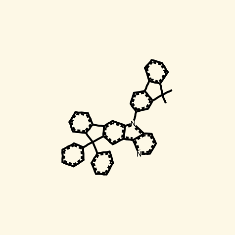 CC1(C)c2ccccc2-c2ccc(-n3c4cc5c(cc4c4ncccc43)C(c3ccccc3)(c3ccccc3)c3ccccc3-5)cc21